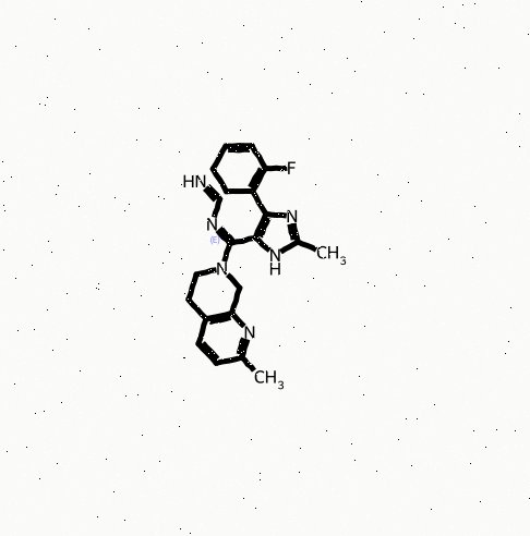 Cc1ccc2c(n1)CN(/C(=N/C=N)c1[nH]c(C)nc1C1=C(F)C=CCC1)CC2